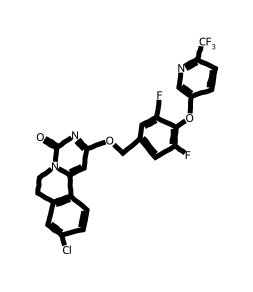 O=c1nc(OCc2cc(F)c(Oc3ccc(C(F)(F)F)nc3)c(F)c2)cc2n1CCc1cc(Cl)ccc1-2